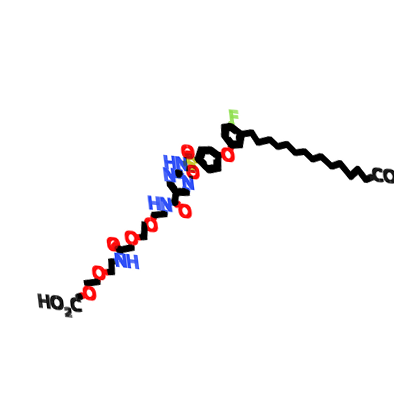 O=C(O)CCCCCCCCCCCCCCc1cc(Oc2ccc(S(=O)(=O)Nc3ncc(C(=O)NCCOCCOCC(=O)NCCOCCOCC(=O)O)cn3)cc2)ccc1F